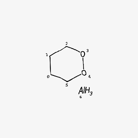 C1CCOOC1.[AlH3]